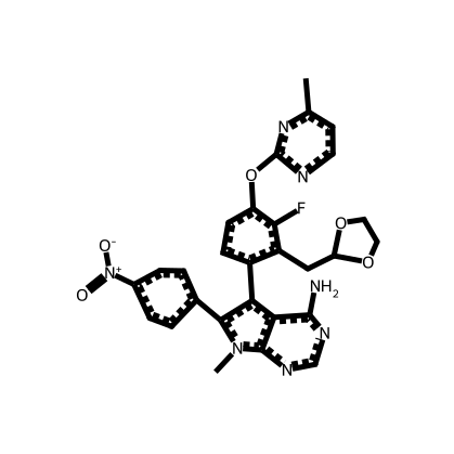 Cc1ccnc(Oc2ccc(-c3c(-c4ccc([N+](=O)[O-])cc4)n(C)c4ncnc(N)c34)c(CC3OCCO3)c2F)n1